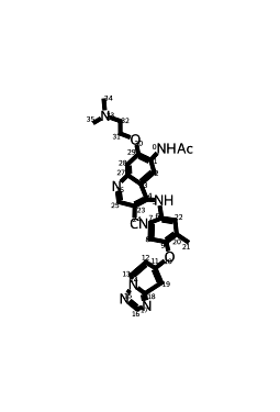 CC(=O)Nc1cc2c(Nc3ccc(Oc4ccn5ncnc5c4)c(C)c3)c(C#N)cnc2cc1OCCN(C)C